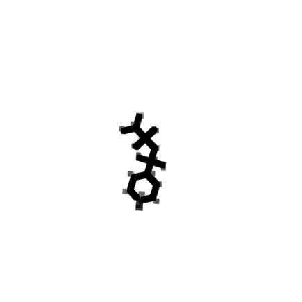 CC(C)C(C)(C)CC(C)(C)C1CCNCC1